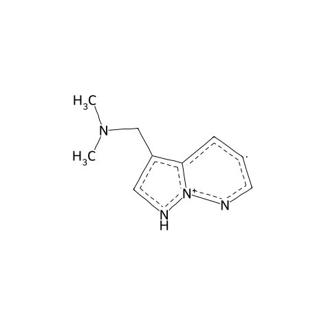 CN(C)Cc1c[nH][n+]2nc[c]cc12